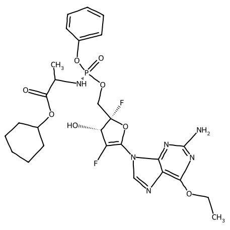 CCOc1nc(N)nc2c1ncn2C1=C(F)[C@H](O)[C@@](F)(CO[P@@](=O)(NC(C)C(=O)OC2CCCCC2)Oc2ccccc2)O1